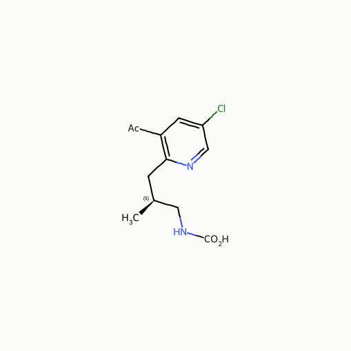 CC(=O)c1cc(Cl)cnc1C[C@H](C)CNC(=O)O